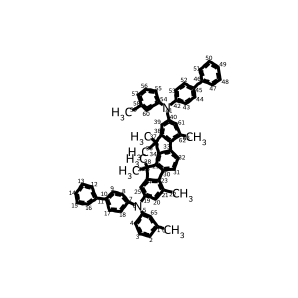 Cc1cccc(N(c2ccc(-c3ccccc3)cc2)c2cc(C)c3c(c2)C(C)(C)c2c-3ccc3c2C(C)(C)c2cc(N(c4ccc(-c5ccccc5)cc4)c4cccc(C)c4)cc(C)c2-3)c1